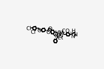 CC[C@@H](c1ccccc1)N1Cc2cc3c(cc2C[C@H]1C(=O)N[C@@H](Cc1ccc(-c2ccncn2)cc1)C(=O)O)OC[C@H](c1ccc(OCc2ccc(Cl)c(Cl)c2)cc1)O3